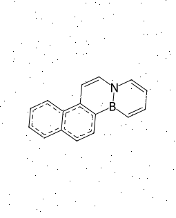 C1=CB2c3ccc4ccccc4c3C=CN2C=C1